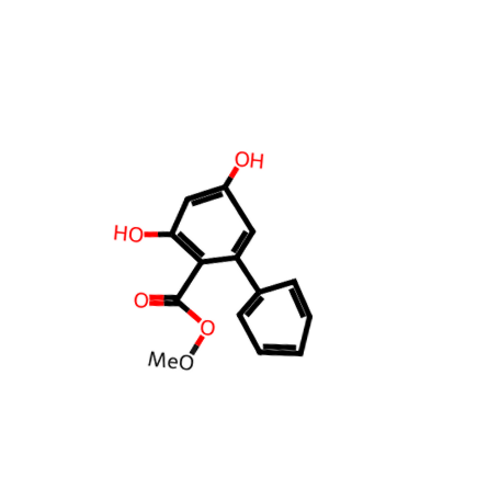 COOC(=O)c1c(O)cc(O)cc1-c1ccccc1